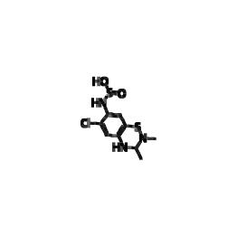 CC1Nc2cc(Cl)c(NS(=O)O)cc2SN1C